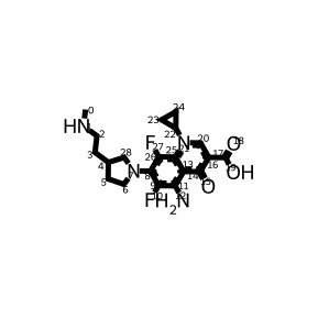 CNCCC1CCN(c2c(F)c(N)c3c(=O)c(C(=O)O)cn(C4CC4)c3c2F)C1